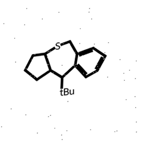 CC(C)(C)C1c2ccccc2CSC2CCCC21